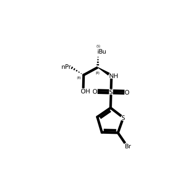 CCC[C@@H](O)[C@H](NS(=O)(=O)c1ccc(Br)s1)[C@@H](C)CC